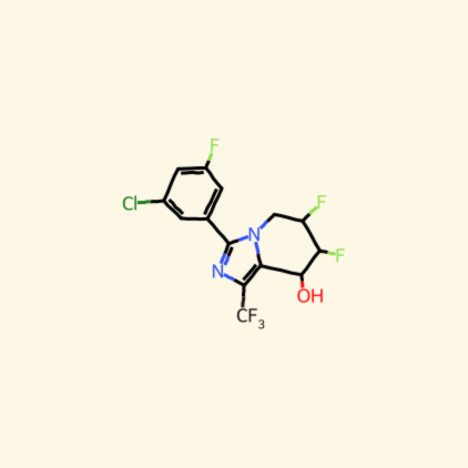 OC1c2c(C(F)(F)F)nc(-c3cc(F)cc(Cl)c3)n2CC(F)C1F